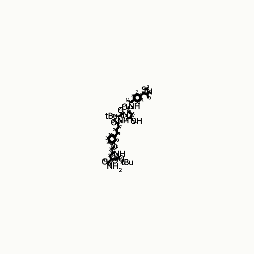 Cc1ncsc1-c1ccc([C@H](C)NC(=O)[C@@H]2C[C@@H](O)CN2C(=O)[C@@H](NC(=O)CCCc2cccc(OC[C@H](CCC(N)=O)NC(=O)OC(C)(C)C)c2)C(C)(C)C)cc1